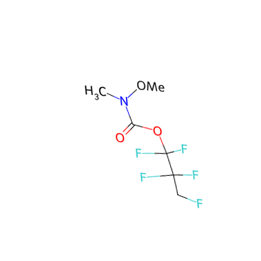 CON(C)C(=O)OC(F)(F)C(F)(F)CF